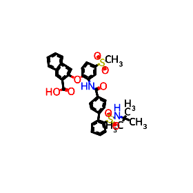 CC(C)(C)NS(=O)(=O)c1ccccc1-c1ccc(C(=O)Nc2cc(S(C)(=O)=O)ccc2Oc2cc3ccccc3cc2C(=O)O)cc1